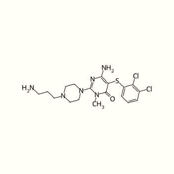 Cn1c(N2CCN(CCCN)CC2)nc(N)c(Sc2cccc(Cl)c2Cl)c1=O